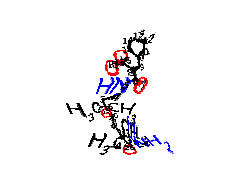 CC(C)(CCNC(=O)c1cc2ccccc2oc1=O)OCCC(C)(C)C(=O)NN